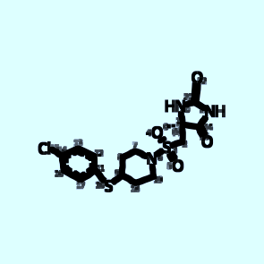 C[C@]1(CS(=O)(=O)N2CCC(Sc3ccc(Cl)cc3)CC2)NC(=O)NC1=O